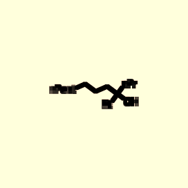 CCCCCCCCC(O)(CC)CCC